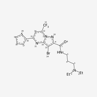 CCN(CC)CCCNC(=O)c1nn2c(C(F)(F)F)cc(-c3cccs3)nc2c1Br